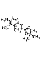 Cc1c(N)ccc(CCC(=O)OC(C)(C)C)c1C